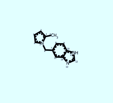 Cc1cccn1Cc1ccc2[nH]cnc2c1